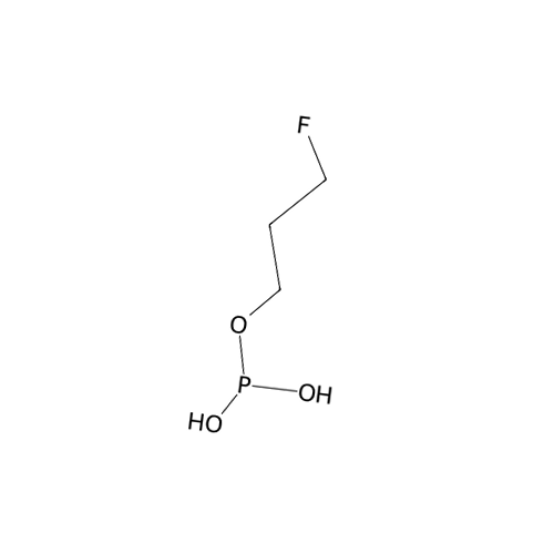 OP(O)OCCCF